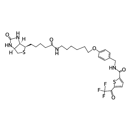 O=C(CCCC[C@H]1SC[C@H]2NC(=O)N[C@H]21)NCCCCCCOc1ccc(CNC(=O)c2ccc(C(=O)C(F)(F)F)s2)cc1